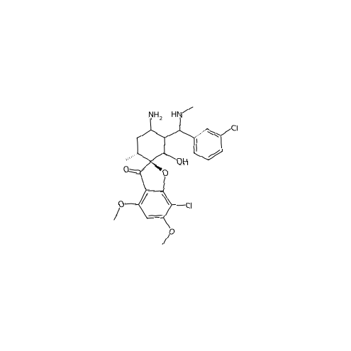 CNC(c1cccc(Cl)c1)C1C(N)C[C@@H](C)[C@]2(Oc3c(Cl)c(OC)cc(OC)c3C2=O)C1O